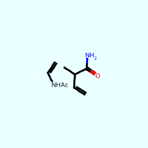 C=CC(C)C(N)=O.C=CNC(C)=O